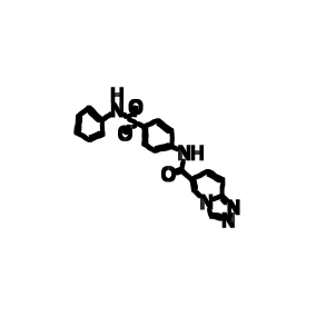 O=C(Nc1ccc(S(=O)(=O)Nc2ccccc2)cc1)c1ccc2nncn2c1